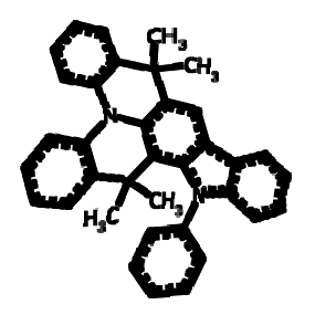 CC1(C)c2ccccc2N2c3ccccc3C(C)(C)c3c2c1cc1c2ccccc2n(-c2ccccc2)c31